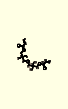 C=CC(=O)OCC(C)(C)COCC(C)(C)COC(=O)C=C